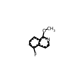 COc1nccc2c(F)[c]ccc12